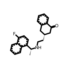 C[C@@H](NCC[C@H]1CC(=O)c2ccccc2C1)c1ccc(F)c2ccccc12